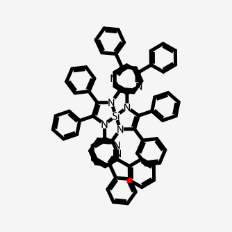 c1ccc(C2=C(c3ccccc3)N(c3cccc(-c4ccccc4)n3)[Si]3(N2c2cccc(-c4ccccc4)n2)N(c2cccc(-c4ccccc4)n2)C(c2ccccc2)=C(c2ccccc2)N3c2cccc(-c3ccccc3)n2)cc1